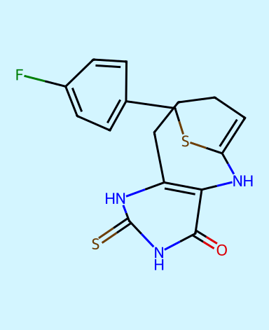 O=c1[nH]c(=S)[nH]c2c1N/C(SCc1ccc(F)cc1)=C/CCC2